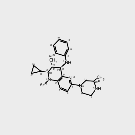 CC(=O)N1c2ccc(N3CCNC(C)C3)nc2[C@H](Nc2ccccc2)[C@@H](C)[C@@H]1C1CC1